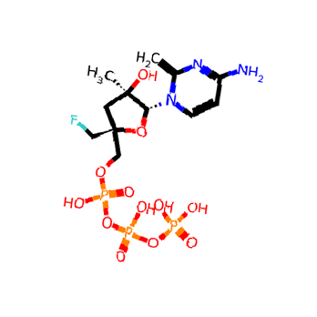 C=C1N=C(N)C=CN1[C@@H]1O[C@](CF)(COP(=O)(O)OP(=O)(O)OP(=O)(O)O)C[C@@]1(C)O